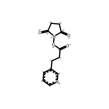 O=C(CCc1cccnc1)ON1C(=O)CCC1=O